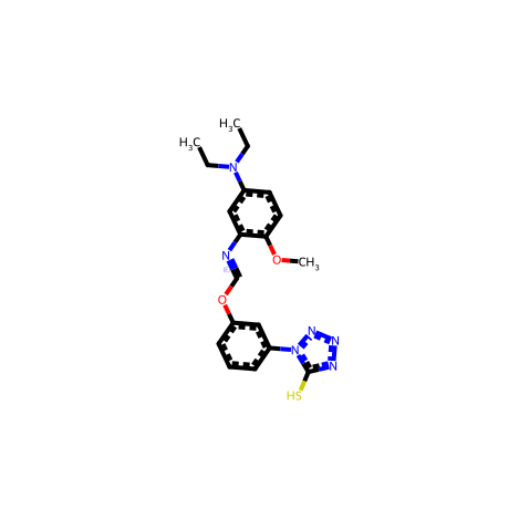 CCN(CC)c1ccc(OC)c(/N=C/Oc2cccc(-n3nnnc3S)c2)c1